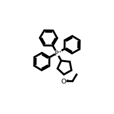 CC[O-].c1ccc([P+](c2ccccc2)(c2ccccc2)C2CCCC2)cc1